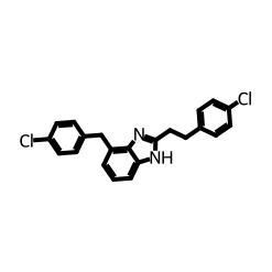 Clc1ccc(CCc2nc3c(Cc4ccc(Cl)cc4)cccc3[nH]2)cc1